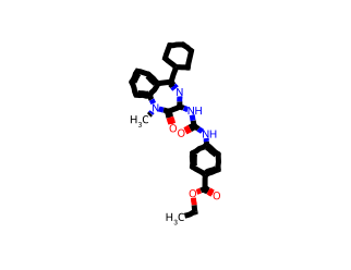 CCOC(=O)c1ccc(NC(=O)NC2N=C(C3CCCCC3)c3ccccc3N(C)C2=O)cc1